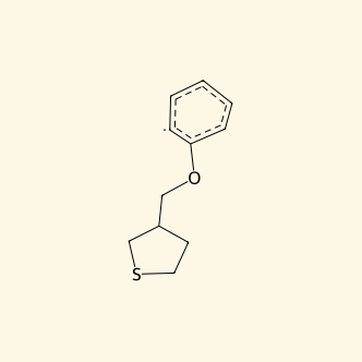 [c]1ccccc1OCC1CCSC1